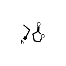 CCC#N.O=C1CCCO1